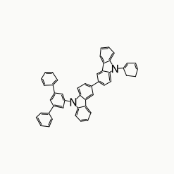 C1=CCCC(n2c3ccccc3c3cc(-c4ccc5c(c4)c4ccccc4n5-c4cc(-c5ccccc5)cc(-c5ccccc5)c4)ccc32)=C1